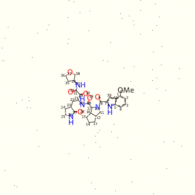 COc1cccc2[nH]c(C(=O)N3CC4CCCC4C3C(=O)NC(CC3CCNC3=O)C(=O)C(=O)NC3CCOC3)cc12